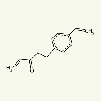 C=CC(=O)CCc1ccc(C=C)cc1